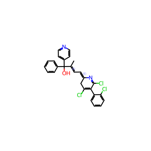 C/C(=C\C=C1/CC(Cl)=C(c2ccccc2Cl)C(Cl)=N1)C(O)(c1ccccc1)c1ccncc1